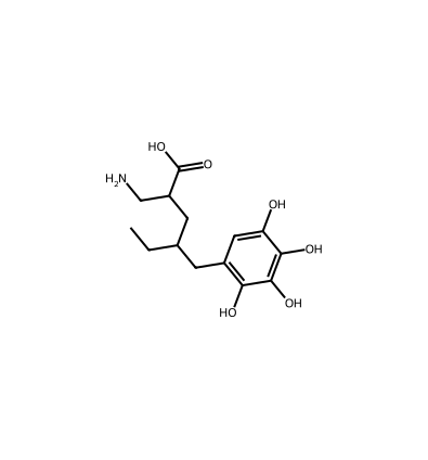 CCC(Cc1cc(O)c(O)c(O)c1O)CC(CN)C(=O)O